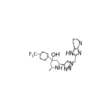 C[C@H]1CC(O)(c2ccc(C(F)(F)F)cc2)C[C@@H](c2cn(Cc3nc4ncccc4[nH]3)nn2)N1